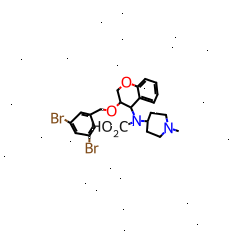 CN1CCC(N(C(=O)O)C2c3ccccc3OCC2OCc2cc(Br)cc(Br)c2)CC1